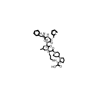 CC(C)C[C@@H](NC(=O)[C@@H](Cc1ccccc1)NC(=O)[C@H](N)Cc1ccccc1)C(=O)N[C@H](CCCN)C(=O)N1CCC(N2CCC[C@H]2CC(=O)O)CC1